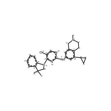 CN1CCc2c(cc(Nc3ncc(Cl)c(N4CC(C)(C)c5ccccc54)n3)cc2C2CC2)C1